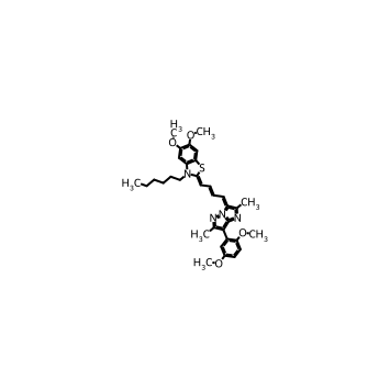 CCCCCCN1/C(=C/C=C/C=c2/c(C)nc3c(-c4cc(OC)ccc4OC)c(C)nn23)Sc2cc(OC)c(OC)cc21